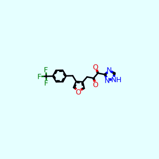 O=C(Cc1cocc1Cc1ccc(C(F)(F)F)cc1)C(=O)c1nc[nH]n1